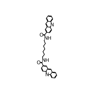 O=C(NCCCCCCCNC(=O)c1ccc2nc3ccccc3cc2c1)c1ccc2nc3ccccc3cc2c1